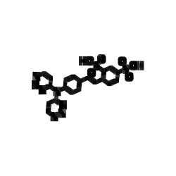 O=S(=O)(O)c1ccc(C=Cc2ccc(N(c3ccnnn3)c3ccnnn3)cc2)c(S(=O)(=O)O)c1